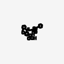 O=C(O)Oc1ccc2c(c1)C(SCCNS(=O)(=O)C=Cc1ccccc1)c1ccccc1CO2